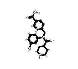 COC(=O)c1ccc(CN(C(=O)C2CCNCC2)c2cccc(Cl)c2)nc1